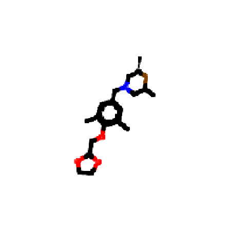 Cc1cc(CN2CC(C)S[C@@H](C)C2)cc(C)c1OCC1OCCO1